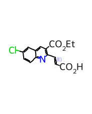 CCOC(=O)c1cc2cc(Cl)ccc2nc1/C=C/C(=O)O